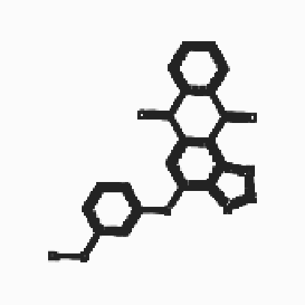 CCOc1cccc(Sc2cc3c(c4nsnc24)C(=O)c2ccccc2C3=O)c1